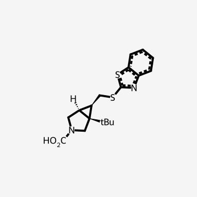 CC(C)(C)[C@@]12CN(C(=O)O)C[C@H]1[C@H]2CSc1nc2ccccc2s1